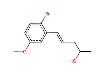 COc1ccc(Br)c(C=CCC(C)O)c1